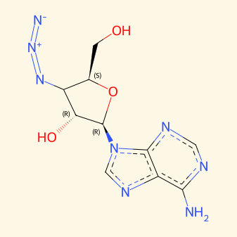 [N-]=[N+]=NC1[C@@H](O)[C@H](n2cnc3c(N)ncnc32)O[C@@H]1CO